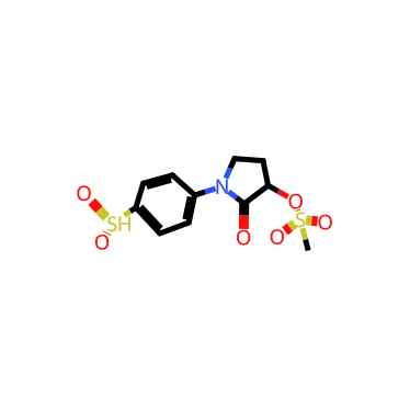 CS(=O)(=O)OC1CCN(c2ccc([SH](=O)=O)cc2)C1=O